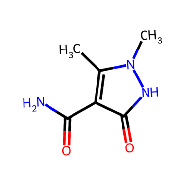 Cc1c(C(N)=O)c(=O)[nH]n1C